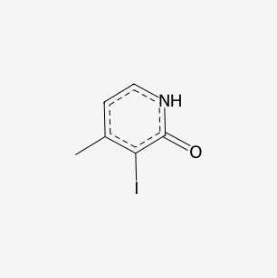 Cc1cc[nH]c(=O)c1I